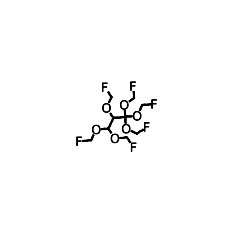 FCOC(OCF)C(OCF)C(OCF)(OCF)OCF